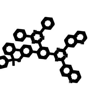 CC1(c2ccccc2)Oc2cc(-c3ccc(-c4nc(-c5ccc6ncccc6c5)nc(-c5ccc6cccnc6c5)n4)cc3-c3nc(-c4ccccc4)nc(-c4ccccc4)n3)ccc2-c2ccccc21